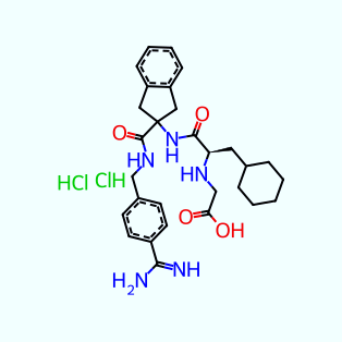 Cl.Cl.N=C(N)c1ccc(CNC(=O)C2(NC(=O)[C@@H](CC3CCCCC3)NCC(=O)O)Cc3ccccc3C2)cc1